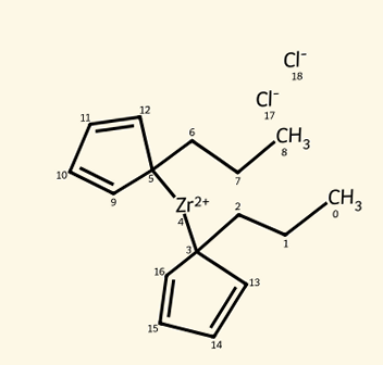 CCC[C]1([Zr+2][C]2(CCC)C=CC=C2)C=CC=C1.[Cl-].[Cl-]